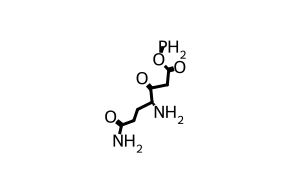 NC(=O)CC[C@H](N)C(=O)CC(=O)OP